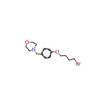 BrCCCCOc1ccc(CN2CCOCC2)cc1